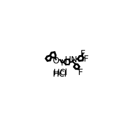 Cl.Cl.Fc1ccc(C(Nc2ccc(F)c(F)c2)C2CCN(CCOc3cccc4ccccc34)CC2)cc1